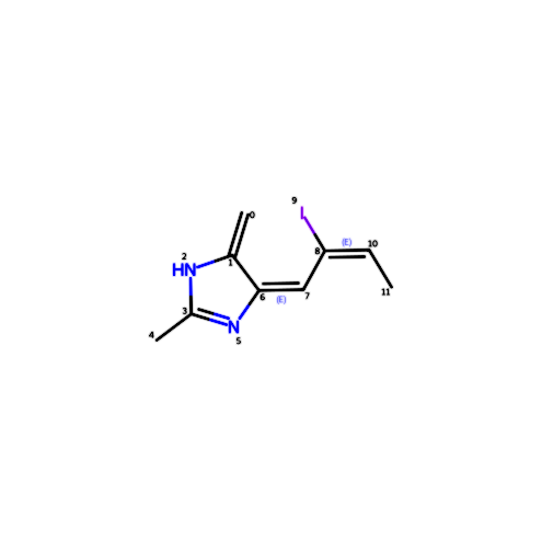 C=c1[nH]c(C)n/c1=C/C(I)=C\C